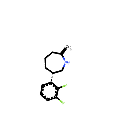 C=C1CCC[C@@H](c2cccc(F)c2F)CN1